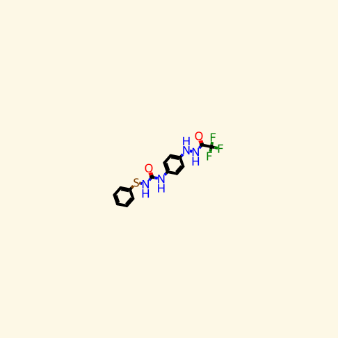 O=C(NSc1ccccc1)Nc1ccc(NNC(=O)C(F)(F)F)cc1